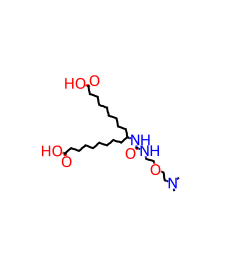 CN(C)CCOCCNC(=O)NC(CCCCCCCCC(=O)O)CCCCCCCCC(=O)O